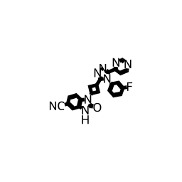 N#Cc1ccc2c(c1)[nH]c(=O)n2C1CC(c2nnc(-c3ccncn3)n2-c2cccc(F)c2)C1